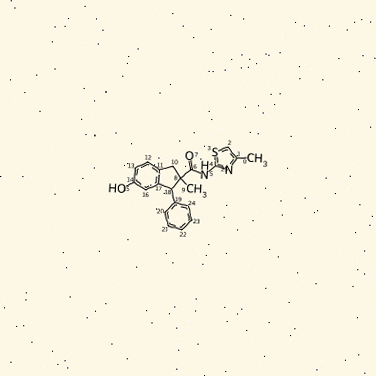 Cc1csc(NC(=O)C2(C)Cc3ccc(O)cc3C2c2ccccc2)n1